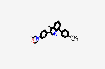 Cc1c(-c2ccc(N3C[C@@H](C)O[C@@H](C)C3)cc2)cnc2c(-c3ccc(C#N)cc3)cccc12